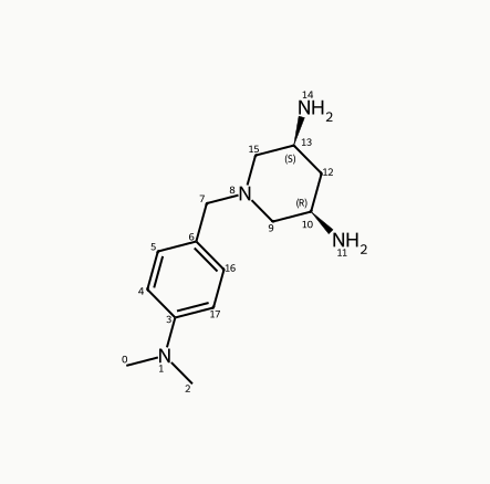 CN(C)c1ccc(CN2C[C@H](N)C[C@H](N)C2)cc1